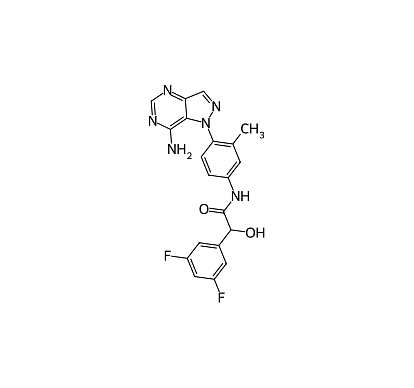 Cc1cc(NC(=O)C(O)c2cc(F)cc(F)c2)ccc1-n1ncc2ncnc(N)c21